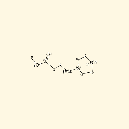 COC(=O)CCNN1CCNCC1